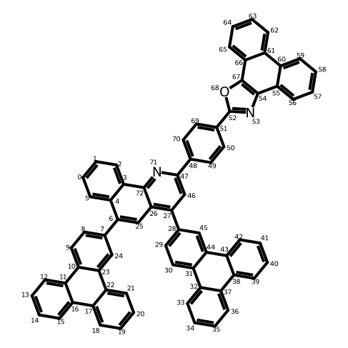 c1ccc2c(c1)c(-c1ccc3c4ccccc4c4ccccc4c3c1)cc1c(-c3ccc4c5ccccc5c5ccccc5c4c3)cc(-c3ccc(-c4nc5c6ccccc6c6ccccc6c5o4)cc3)nc12